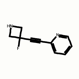 FC1(C#Cc2ccccn2)CNC1